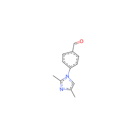 Cc1cn(-c2ccc(C=O)cc2)c(C)n1